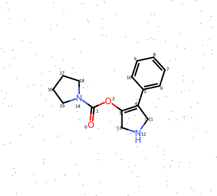 O=C(OC1=C(c2ccccc2)[C]NC1)N1CCCC1